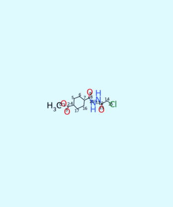 COC(=O)C1CCC(C(=O)NNC(=O)CCl)CC1